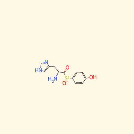 N[C@@H](Cc1c[nH]cn1)C(=O)[S+]([O-])c1ccc(O)cc1